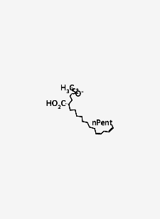 CCCCC/C=C\C/C=C\CCCCCCCC[C@@H](CC[S+](C)[O-])C(=O)O